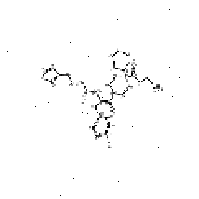 CCCC(=O)C1(C2CCCCC2)CCN(C(=O)[C@@H](Cc2ccc(F)cc2)NC(=O)NCCC2=NCN=C2)CC1